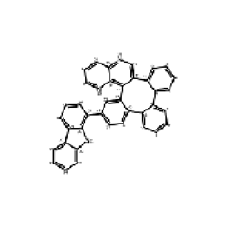 c1ccc2c(c1)-c1ccccc1-c1cnc3cccnc3c1-c1cc(-c3cccc4c3sc3ccccc34)ccc1-2